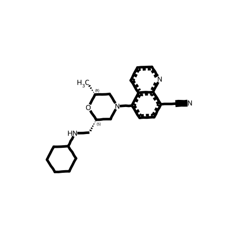 C[C@@H]1CN(c2ccc(C#N)c3ncccc23)C[C@H](CNC2CCCCC2)O1